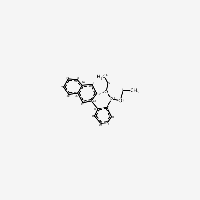 CCOP(OCC)c1ccccc1-c1ccc2ccccc2c1